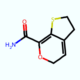 NC(=O)C1=C2SCCC2=CCO1